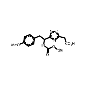 COc1ccc(CC(NC(=O)OC(C)(C)C)c2noc(CC(=O)O)n2)cc1